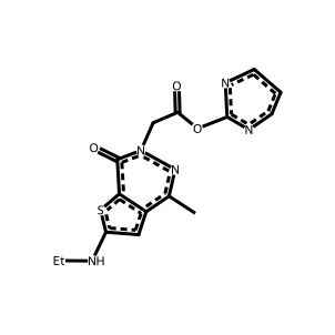 CCNc1cc2c(C)nn(CC(=O)Oc3ncccn3)c(=O)c2s1